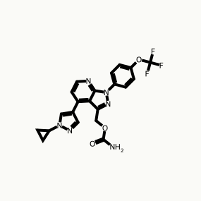 NC(=O)OCc1nn(-c2ccc(OC(F)(F)F)cc2)c2nccc(-c3cnn(C4CC4)c3)c12